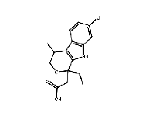 CCC1(CC(=O)O)OCC(C)c2c1[nH]c1cc(Cl)ccc21